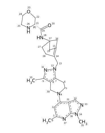 Cc1cc(N2CCc3c(c(C)nn3CC3=C4CC(NC(=O)[C@H]5COCCN5)(CC3)C4)C2)c2cnn(C)c2n1